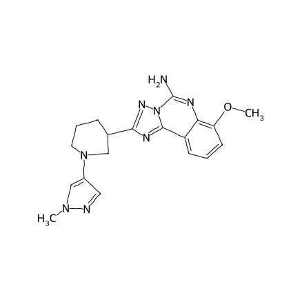 COc1cccc2c1nc(N)n1nc(C3CCCN(c4cnn(C)c4)C3)nc21